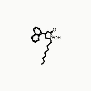 CCCCCCCCC1CC(c2cccc3ccccc23)CC(=O)N1O